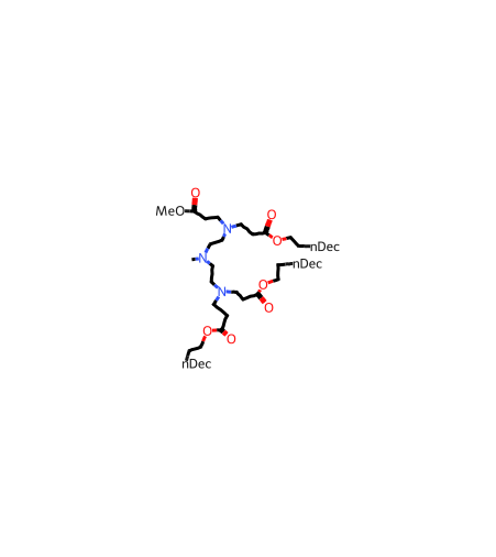 CCCCCCCCCCCCOC(=O)CCN(CCC(=O)OC)CCN(C)CCN(CCC(=O)OCCCCCCCCCCCC)CCC(=O)OCCCCCCCCCCCC